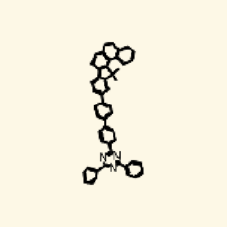 CC1(C)c2cc(-c3ccc(-c4ccc(-c5nc(-c6ccccc6)nc(-c6ccccc6)n5)cc4)cc3)ccc2-c2ccc3c(c21)-c1ccccc1CC3